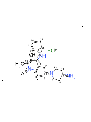 CC(=O)N1c2ccc(N3CCC(N)CC3)cc2[C@H](Nc2ccccc2)[C@@H](C)[C@@H]1C.Cl